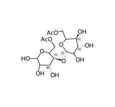 CC(=O)OCC1O[C@@H](O[C@@H]2C(COC(C)=O)OC(O)C(O)[C@H]2O)C(O)[C@@H](O)[C@@H]1O